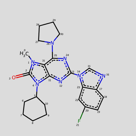 Cn1c(=O)n(C2CCCCC2)c2nc(-n3cnc4ccc(F)cc43)nc(N3CCCC3)c21